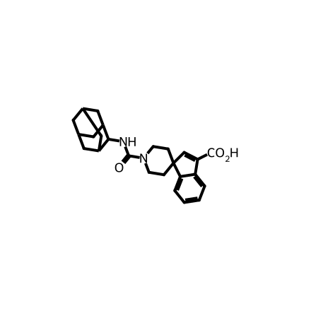 O=C(O)C1=CC2(CCN(C(=O)NC3C4CC5CC(C4)CC3C5)CC2)c2ccccc21